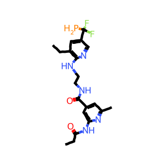 CCC(=O)Nc1cc(C(=O)NCCNc2ncc(C(F)(F)P)cc2CC)cc(C)n1